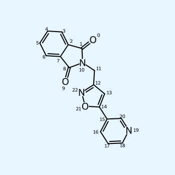 O=C1c2ccccc2C(=O)N1Cc1cc(-c2cccnc2)on1